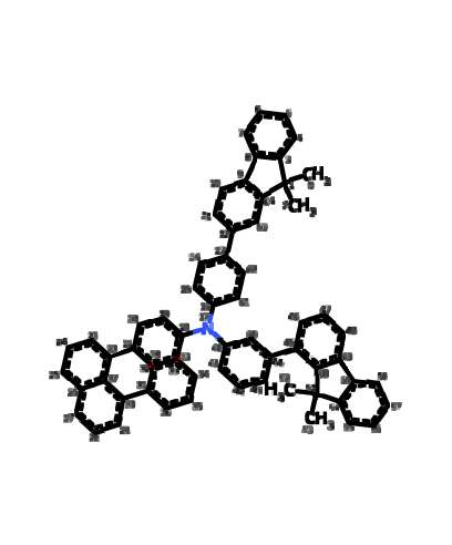 CC1(C)c2ccccc2-c2ccc(-c3ccc(N(c4ccc(-c5cccc6cccc(-c7ccccc7)c56)cc4)c4cccc(-c5cccc6c5C(C)(C)c5ccccc5-6)c4)cc3)cc21